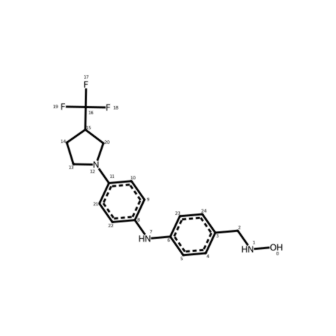 ONCc1ccc(Nc2ccc(N3CCC(C(F)(F)F)C3)cc2)cc1